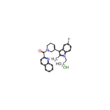 Cc1c(C2=CCCN(C(=O)c3ccc4ccccc4n3)C2)c2cc(F)ccc2n1CC(=O)O.Cl